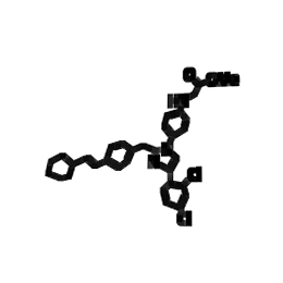 COC(=O)CNc1ccc(-n2cc(-c3ccc(Cl)cc3Cl)nc2Cc2ccc(C=CC3CCCCC3)cc2)cc1